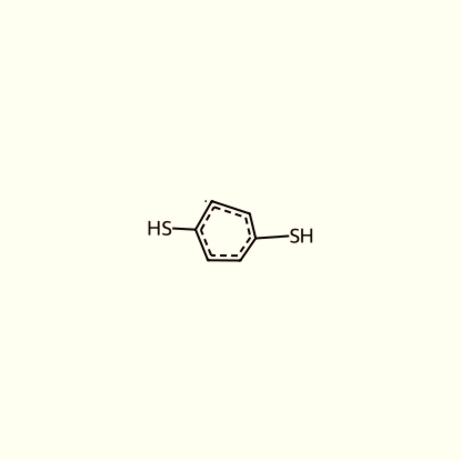 Sc1[c]cc(S)cc1